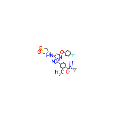 Cc1cc(-c2cnc3c(NCC4CCS(=O)(=O)CC4)cc(Oc4ccc(F)cc4)nn23)ccc1C(=O)NC1CC1